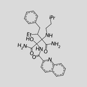 CCC(Cc1ccccc1)C(NCCC(C)C)(C(N)=O)C(O)(NC(=O)c1ccc2ccccc2n1)C(N)=O